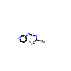 CC(N=C=Nc1cccnc1)C(C)(C)C